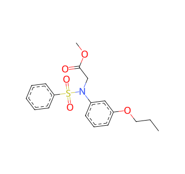 CCCOc1cccc(N(CC(=O)OC)S(=O)(=O)c2ccccc2)c1